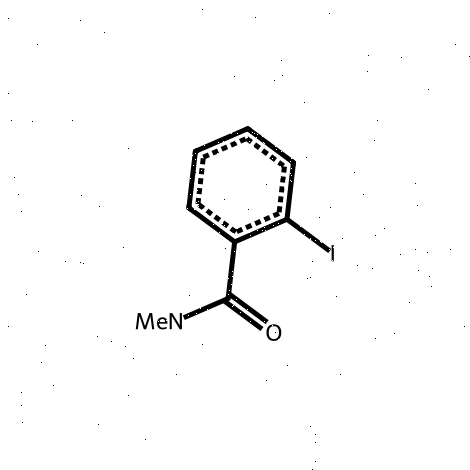 [CH2]NC(=O)c1ccccc1I